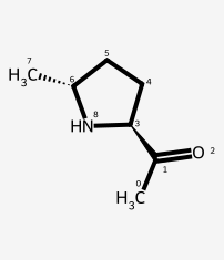 CC(=O)[C@@H]1CC[C@@H](C)N1